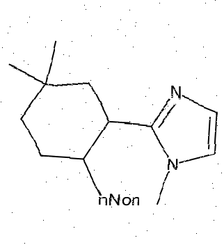 CCCCCCCCCC1CCC(C)(C)CC1c1nccn1C